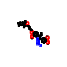 C=C/C(=C(/N)c1ccc(OC)c(OC)c1)c1ccc(OCCCCOC(=C)C(C)(CC)CC(C)(C)C)c(OC)c1